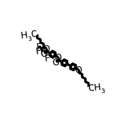 CCCCCCCCOc1ccc(-c2ccc(C(=O)Oc3ccc(C(=O)OC(CCCCCC)C(F)(F)F)c(F)c3)cc2)cc1